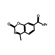 CCCC(=O)c1ccc2c(C)nc(=O)oc2c1